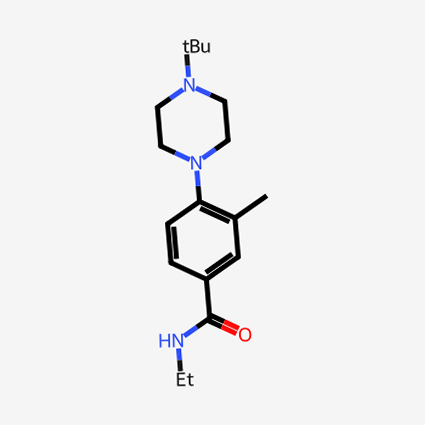 CCNC(=O)c1ccc(N2CCN(C(C)(C)C)CC2)c(C)c1